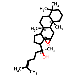 CC(C)=CCC[C@](C)(O)C1CCC2[C@]3(C)CCC4C(C)(C)CCC[C@]4(C)C3CC3O[C@]321